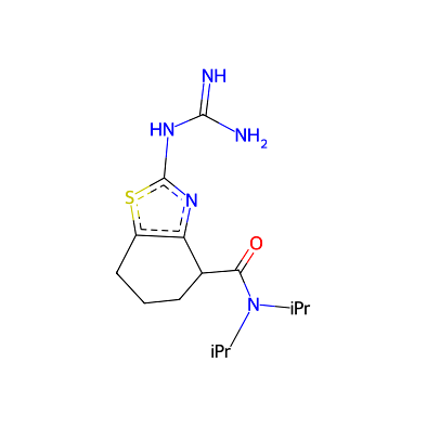 CC(C)N(C(=O)C1CCCc2sc(NC(=N)N)nc21)C(C)C